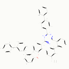 Cc1cccc(-c2ccccc2-c2nc(-c3ccc(-c4ccccc4)cc3)nc(-c3ccc4c(c3)oc3cccc(-c5cccc(-c6ccccc6)c5)c34)n2)c1